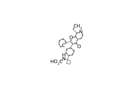 C=Cc1nccc2c(=O)c(-c3ccc(C4(NC(=O)O)CCC4)cc3)c(-c3ccccc3)oc12